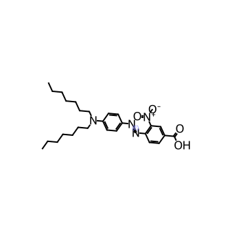 CCCCCCCN(CCCCCCC)c1ccc(/N=N/c2ccc(C(=O)O)cc2[N+](=O)[O-])cc1